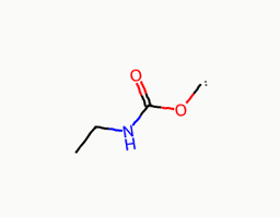 [CH]OC(=O)NCC